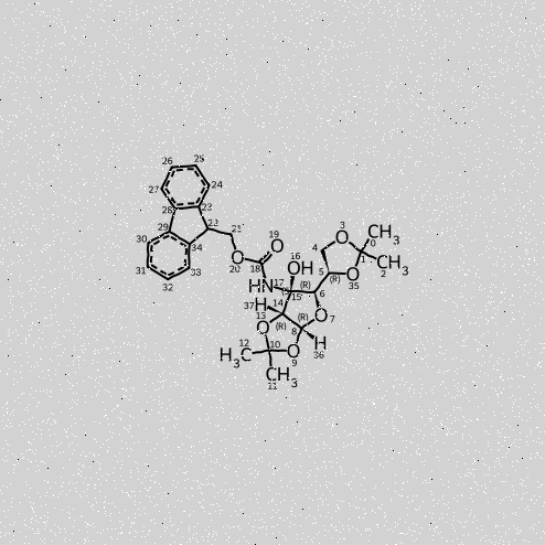 CC1(C)OC[C@H]([C@H]2O[C@@H]3OC(C)(C)O[C@@H]3[C@]2(O)NC(=O)OCC2c3ccccc3-c3ccccc32)O1